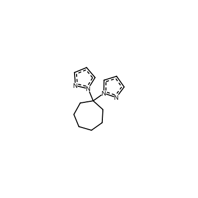 c1cnn(C2(n3cccn3)CCCCCC2)c1